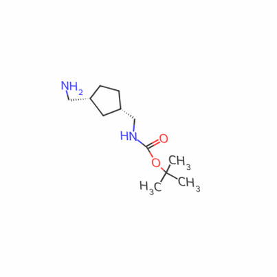 CC(C)(C)OC(=O)NC[C@H]1CC[C@@H](CN)C1